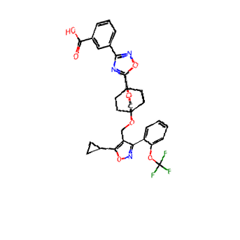 O=C(O)c1cccc(-c2noc(C34CCC(OCc5c(-c6ccccc6OC(F)(F)F)noc5C5CC5)(CC3)CO4)n2)c1